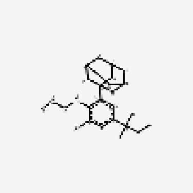 CCC(C)(C)c1cc(Br)c(OCOC)c(C23CC4CC(CC(C4)C2)C3)c1